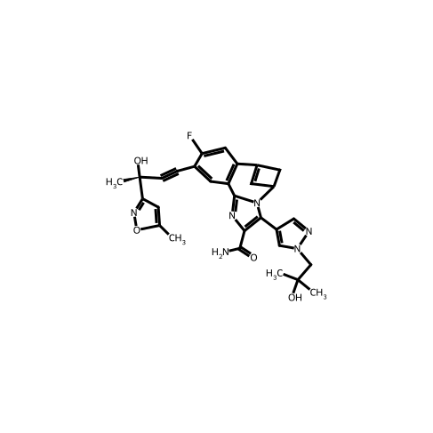 Cc1cc([C@](C)(O)C#Cc2cc3c(cc2F)C2=CC(C2)n2c-3nc(C(N)=O)c2-c2cnn(CC(C)(C)O)c2)no1